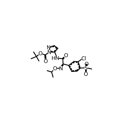 CC(C)ON=C(C(=O)Nc1ccnn1C(=O)OC(C)(C)C)c1ccc(S(C)(=O)=O)c(Cl)c1